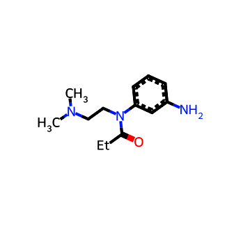 CCC(=O)N(CCN(C)C)c1cccc(N)c1